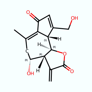 C=C1C(=O)O[C@@H]2[C@H]3C(CO)=CC(=O)C3=C(C)C[C@@H](O)[C@@H]12